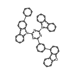 c1ccc(-c2ccc3c4ccccc4n(-c4nc(-c5cccc(-c6cccc7oc8ccccc8c67)c5)nc(-n5c6ccccc6c6ccccc65)n4)c3c2)cc1